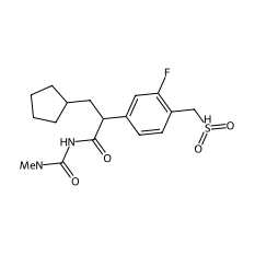 CNC(=O)NC(=O)C(CC1CCCC1)c1ccc(C[SH](=O)=O)c(F)c1